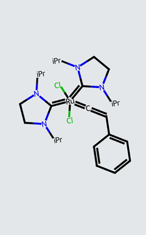 CC(C)N1CCN(C(C)C)[C]1=[Ru]([Cl])([Cl])(=[C]=Cc1ccccc1)=[C]1N(C(C)C)CCN1C(C)C